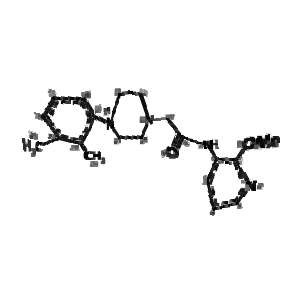 COc1ncccc1NC(=O)CN1CCN(c2cccc(C)c2C)CC1